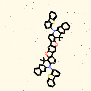 CC1(C)c2cc3ccccc3cc2N(c2cccc3c2sc2ccccc23)c2ccc3c(oc4cc5c(cc43)oc3c4c(ccc35)N(c3cccc5c3sc3ccccc35)c3cc5ccccc5cc3C4(C)C)c21